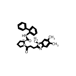 Cc1cc2nc(CCC(=O)N3CCC[C@H]3C(=O)Nc3ccccc3-c3ccccc3)n(C)c2cc1C